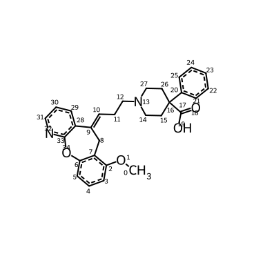 COc1cccc2c1CC(=CCCN1CCC(C(=O)O)(c3ccccc3)CC1)c1cccnc1O2